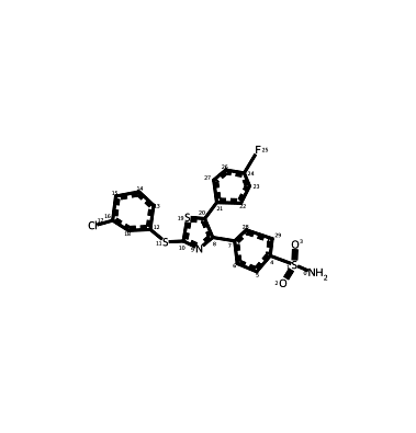 NS(=O)(=O)c1ccc(-c2nc(Sc3cccc(Cl)c3)sc2-c2ccc(F)cc2)cc1